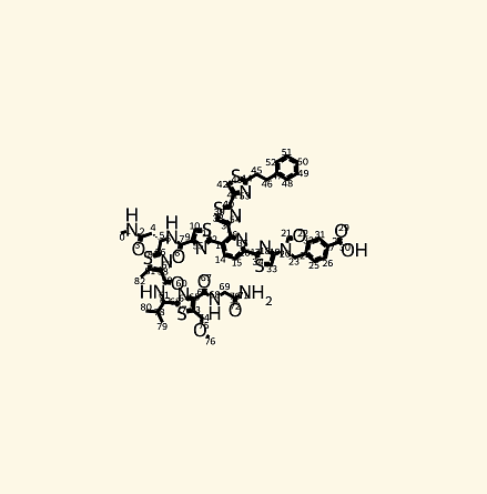 CNC(=O)C[C@H](NC(=O)c1csc(-c2ccc(-c3nc(N(C=O)Cc4ccc(C(=O)O)cc4)cs3)nc2-c2csc(-c3csc(CCc4ccccc4)n3)n2)n1)c1nc(C(=O)NC(c2nc(C(=O)NCC(N)=O)c(COC)s2)C(C)C)c(C)s1